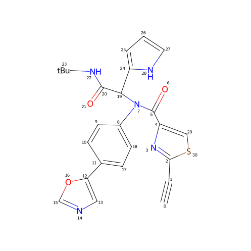 C#Cc1nc(C(=O)N(c2ccc(-c3cnco3)cc2)C(C(=O)NC(C)(C)C)c2ccc[nH]2)cs1